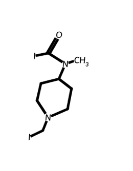 CN(C(=O)I)C1CCN(CI)CC1